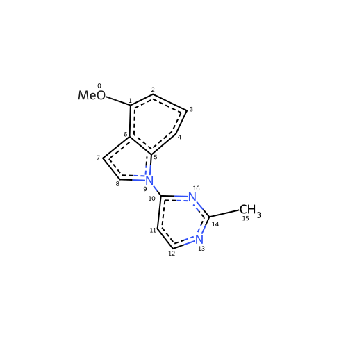 COc1cccc2c1ccn2-c1ccnc(C)n1